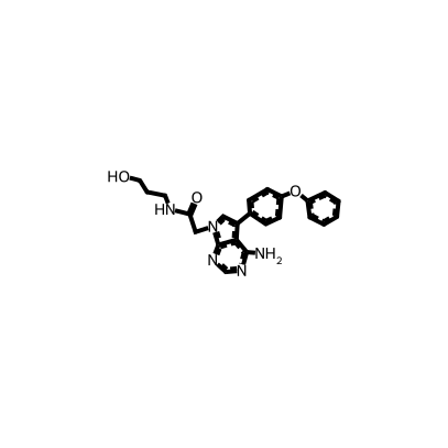 Nc1ncnc2c1c(-c1ccc(Oc3ccccc3)cc1)cn2CC(=O)NCCCO